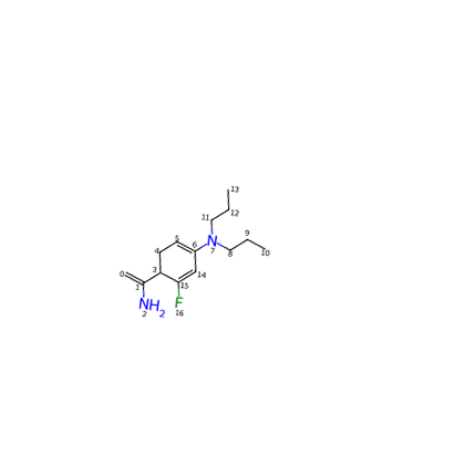 C=C(N)C1CC=C(N(CCC)CCC)C=C1F